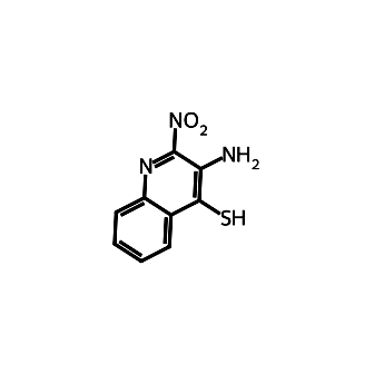 Nc1c([N+](=O)[O-])nc2ccccc2c1S